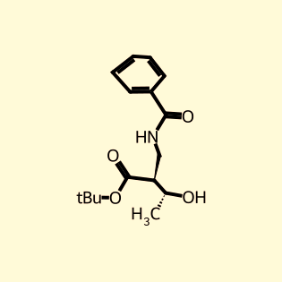 C[C@@H](O)[C@H](CNC(=O)c1ccccc1)C(=O)OC(C)(C)C